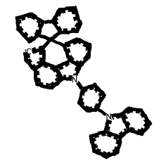 c1ccc2c(c1)-c1ccccc1C21c2cccc3ccc4c(c23)c2c1cccc2n4-c1ccc(-n2c3ccccc3c3ccccc32)cc1